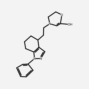 OC1=CN(CCC2CCCc3c2cnn3-c2ccccc2)CCO1